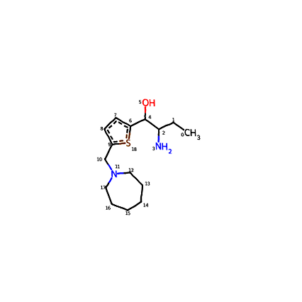 CCC(N)C(O)c1ccc(CN2CCCCCC2)s1